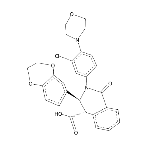 O=C(O)[C@H]1c2ccccc2C(=O)N(c2ccc(N3CCOCC3)c(Cl)c2)[C@@H]1c1ccc2c(c1)OCCO2